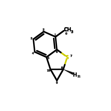 Cc1cccc2c1S[C@H]1CC21